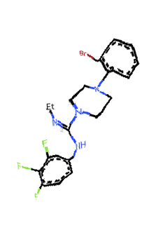 CC/N=C(/Nc1ccc(F)c(F)c1F)N1CCN(c2ccccc2Br)CC1